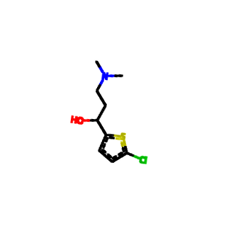 CN(C)CCC(O)c1ccc(Cl)s1